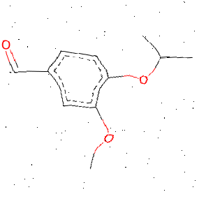 COc1cc([C]=O)ccc1OC(C)C